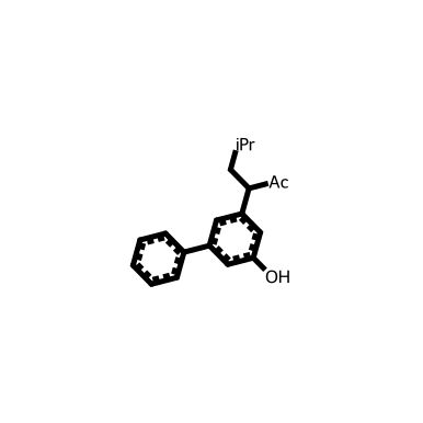 CC(=O)C(CC(C)C)c1cc(O)cc(-c2ccccc2)c1